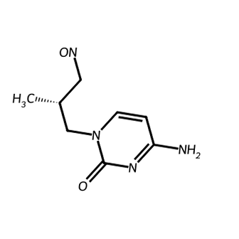 C[C@H](CN=O)Cn1ccc(N)nc1=O